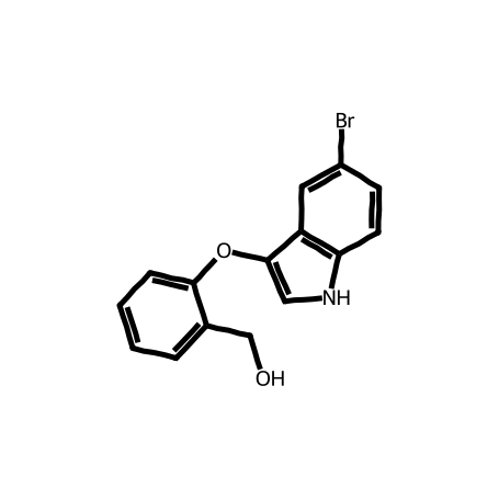 OCc1ccccc1Oc1c[nH]c2ccc(Br)cc12